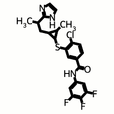 CC(CC1C(C)C1Sc1cc(C(=O)Nc2cc(F)c(F)c(F)c2)ccc1Cl)c1ncc[nH]1